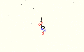 CCCCOC(=O)c1ccc(N=C=O)nc1